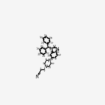 N#CCCN1CCN(c2ccc3ncn(C(c4ccccc4)c4ccccc4)c3c2)CC1